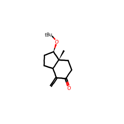 C=C1C(=O)CC[C@]2(C)C1CC[C@H]2OC(C)(C)C